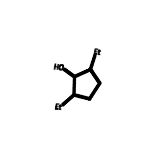 CCC1CCC(CC)C1O